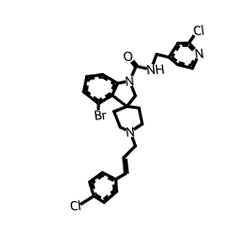 O=C(NCc1ccnc(Cl)c1)N1CC2(CCN(C/C=C/c3ccc(Cl)cc3)CC2)c2c(Br)cccc21